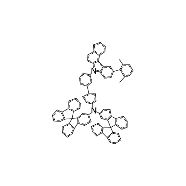 Cc1cccc(C)c1-c1ccc2c(c1)c1c3ccccc3ccc1n2-c1cccc(-c2ccc(N(c3ccc4c(c3)C3(c5ccccc5-c5ccccc53)c3ccccc3-4)c3ccc4c(c3)C3(c5ccccc5-c5ccccc53)c3ccccc3-4)cc2)c1